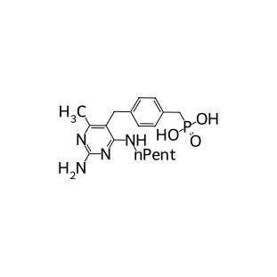 CCCCCNc1nc(N)nc(C)c1Cc1ccc(CP(=O)(O)O)cc1